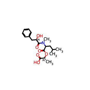 CC(C)CC(C(=O)O[C@H](C)C(=O)O)N(C)C(=O)[C@H](O)Cc1ccccc1